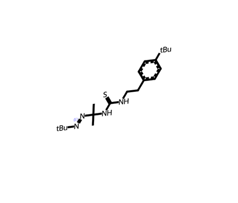 CC(C)(C)/N=N/C(C)(C)NC(=S)NCCc1ccc(C(C)(C)C)cc1